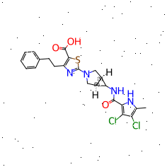 Cc1[nH]c(C(=O)NC2[C@H]3CN(c4nc(CCc5ccccc5)c(C(=O)O)s4)C[C@@H]23)c(Cl)c1Cl